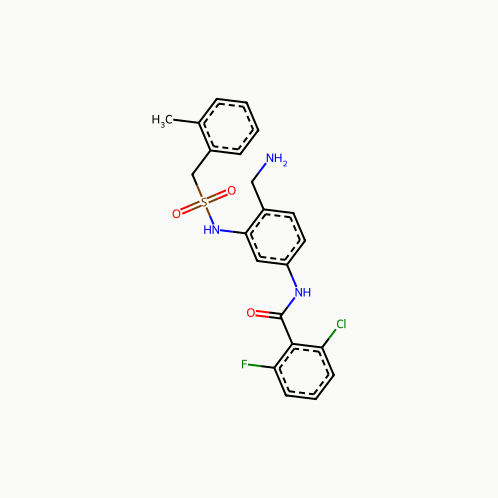 Cc1ccccc1CS(=O)(=O)Nc1cc(NC(=O)c2c(F)cccc2Cl)ccc1CN